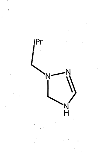 CC(C)CN1CNC=N1